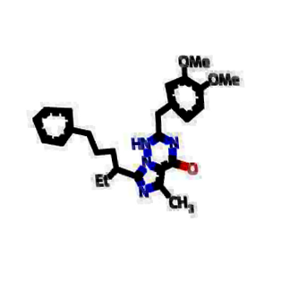 CCC(CCCc1ccccc1)c1nc(C)c2c(=O)nc(Cc3ccc(OC)c(OC)c3)[nH]n12